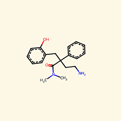 CN(C)C(=O)C(CCN)(Cc1ccccc1O)c1ccccc1